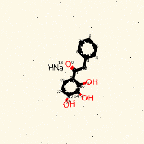 O=C(Cc1ccccc1)c1ccc(O)c(O)c1O.[NaH]